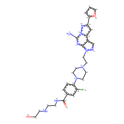 Nc1nc2c(cnn2CCN2CCN(c3ccc(C(=O)NCCNCCO)cc3F)CC2)c2cc(-c3ccco3)nn12